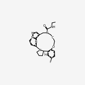 CCNC(=O)N1CCCOc2ccc(F)cc2[C@H]2CCCN2c2ccn3ncc(c3n2)C1